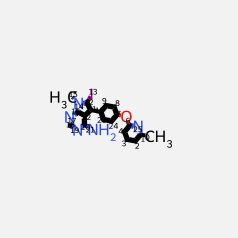 Cc1cccc(Oc2ccc(-c3c(I)n(C)c4ncnc(N)c34)cc2)n1